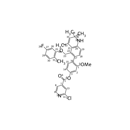 COc1cc(OC(=O)c2ccnc(Cl)c2)ccc1-c1ccc2c(c1COc1cc(F)ccc1C)C(C)=CC(C)(C)N2